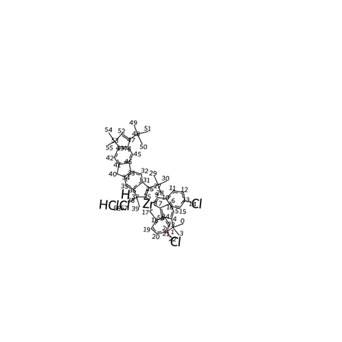 CC(C)(C)C1=CC[C]([Zr](=[CH]c2ccc(Cl)cc2)(=[CH]c2ccc(Cl)cc2)[C]2=C(C(C)(C)C)c3cc4c(cc3C2(C)C)Cc2cc3c(cc2-4)C(C(C)(C)C)=CC3(C)C)=C1.Cl.Cl